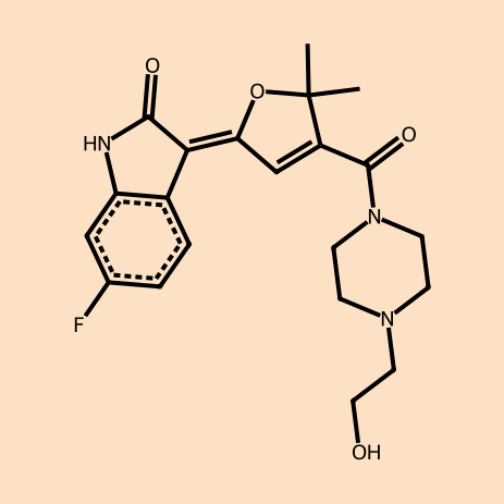 CC1(C)OC(=C2C(=O)Nc3cc(F)ccc32)C=C1C(=O)N1CCN(CCO)CC1